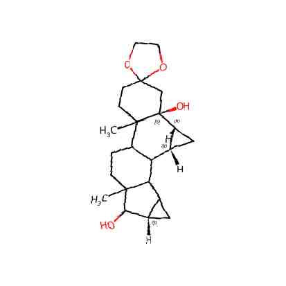 CC12CCC3C(C1C1C[C@@H]1C2O)[C@H]1C[C@H]1[C@@]1(O)CC2(CCC31C)OCCO2